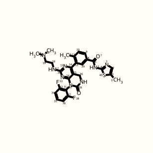 Cc1cnc(NC(=O)c2ccc(C)c(-c3nc(NCCN(C)C)nc4c3CNC(=O)N4c3c(F)cccc3F)c2)s1